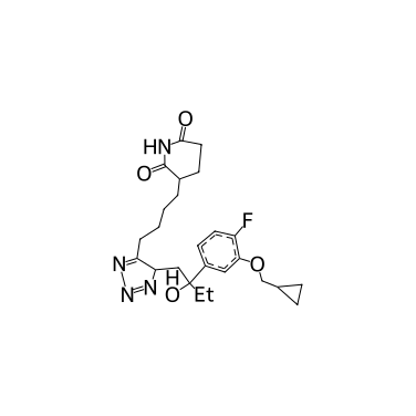 CCC(O)(CC1N=NN=C1CCCCC1CCC(=O)NC1=O)c1ccc(F)c(OCC2CC2)c1